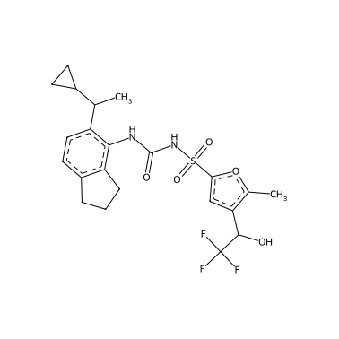 Cc1oc(S(=O)(=O)NC(=O)Nc2c(C(C)C3CC3)ccc3c2CCC3)cc1C(O)C(F)(F)F